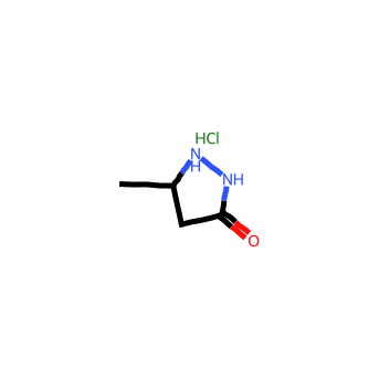 CC1CC(=O)NN1.Cl